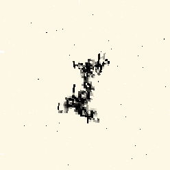 CC(CCC(=O)NC=O)N(C)C(=O)c1cc(N2CCC(CN3CCN(SNc4ccc(Cl)cc4C(=O)Nc4ccc(C(F)(F)F)cc4Cl)CC3)CC2)ccc1C=O